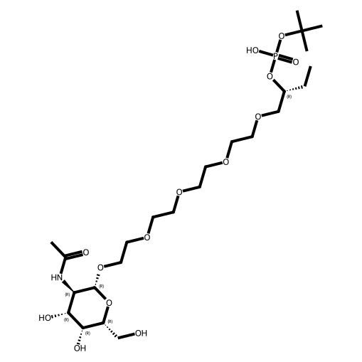 CC[C@H](COCCOCCOCCOCCO[C@@H]1O[C@H](CO)[C@H](O)[C@H](O)[C@H]1NC(C)=O)OP(=O)(O)OC(C)(C)C